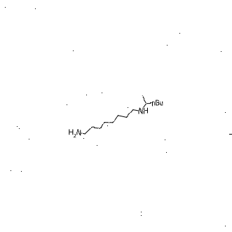 CCCCC(C)NCCCCCCCCN